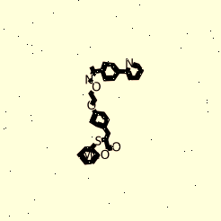 COC(=O)C(Cc1ccc(OCCO/N=C(/C)c2ccc(-c3ccccn3)cc2)cc1)Sc1ccccc1